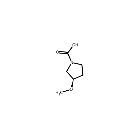 CO[C@@H]1CCN(C(=O)O)C1